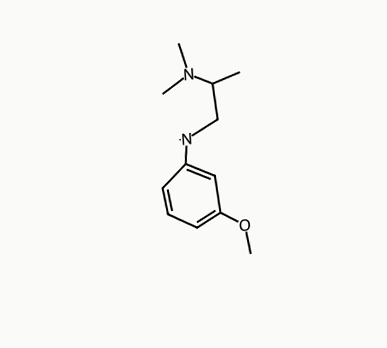 COc1cccc([N]CC(C)N(C)C)c1